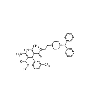 CC1=C(C(=O)OCCN2CCN(C(c3ccccc3)c3ccccc3)CC2)C(c2cccc(C(F)(F)F)c2)C(C(=O)OC(C)C)=C(N)N1